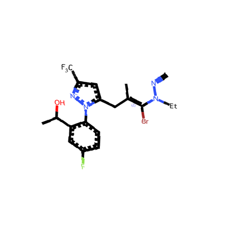 C=NN(CC)/C(Br)=C(\C)Cc1cc(C(F)(F)F)nn1-c1ccc(F)cc1C(C)O